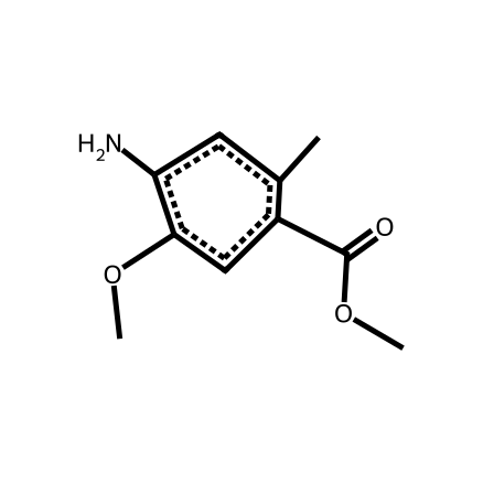 COC(=O)c1cc(OC)c(N)cc1C